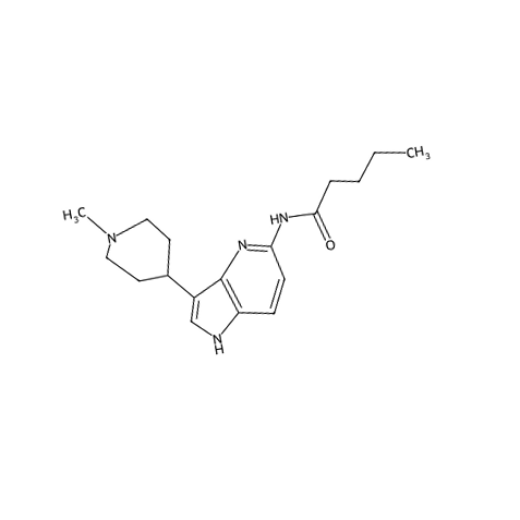 CCCCC(=O)Nc1ccc2[nH]cc(C3CCN(C)CC3)c2n1